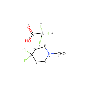 O=C(O)C(F)(F)F.O=CN1CCC(F)(F)CC1